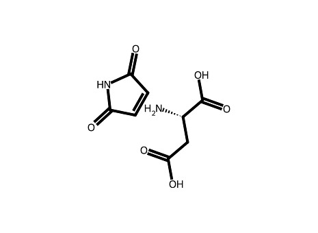 N[C@@H](CC(=O)O)C(=O)O.O=C1C=CC(=O)N1